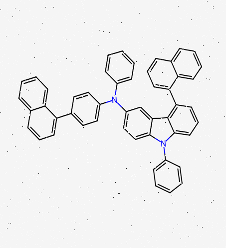 c1ccc(N(c2ccc(-c3cccc4ccccc34)cc2)c2ccc3c(c2)c2c(-c4cccc5ccccc45)cccc2n3-c2ccccc2)cc1